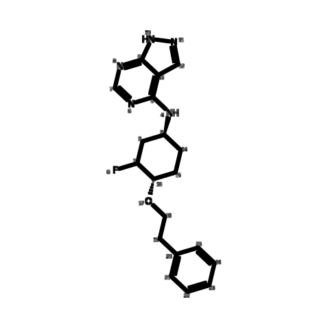 FC1C[C@@H](Nc2ncnc3[nH]ncc23)CC[C@@H]1OCCc1ccccc1